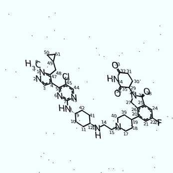 Cn1ncc(-c2nc(N[C@H]3CC[C@H](NCCN4CCC(c5cc(F)cc6c5CN(C5CCC(=O)NC5=O)C6=O)CC4)CC3)ncc2Cl)c1CC1CC1